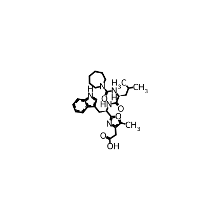 Cc1oc([C@@H](Cc2c[nH]c3ccccc23)NC(=O)[C@H](CC(C)C)NC(=O)N2CCCCCC2)nc1CC(=O)O